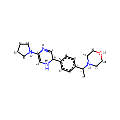 CC(c1ccc(C2C=NC(N3CCCC3)=CN2)cc1)N1CCOCC1